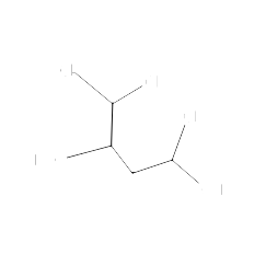 CC(C)CC(C)C(Cl)Cl